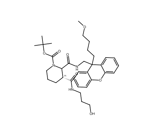 COCCCCC1(CNC(=O)C2[C@H](C(=O)NCCCO)CCCN2C(=O)OC(C)(C)C)c2ccccc2Oc2ccccc21